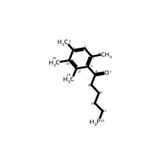 Cc1cc(C)c(C(=O)CCCCP)c(C)c1C